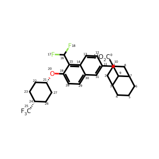 O=C(O)C1CC2CCCC(C1)C2Cc1ccc2c(C(F)F)c(O[C@H]3CC[C@@H](C(F)(F)F)CC3)ccc2c1